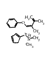 C=C(C)C(C)=COc1ccccc1.C[SiH](C)[Ti][C]1=CC=CC1